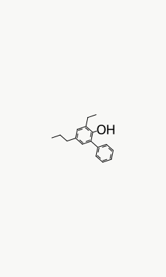 CCCc1cc(CC)c(O)c(-c2ccccc2)c1